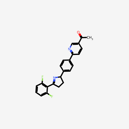 CC(=O)c1ccc(-c2ccc(C3CCC(c4c(F)cccc4F)=N3)cc2)nc1